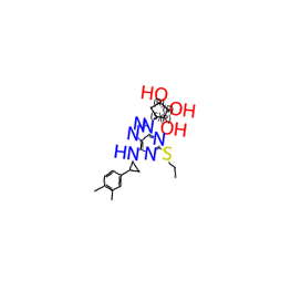 CCCSc1nc(NC2CC2c2ccc(C)c(C)c2)c2nnn([C@H]3C[C@@H](O)[C@H](O)[C@@H]3O)c2n1